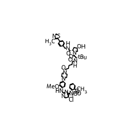 COc1cc(N2CCN(C(=O)CCCC(=O)N[C@H](C(=O)N3C[C@H](O)C[C@H]3C(=O)NCc3ccc(-c4scnc4C)cc3)C(C)(C)C)CC2)ccc1Nc1ncc(Cl)c(Nc2ccccc2P(C)(C)=O)n1